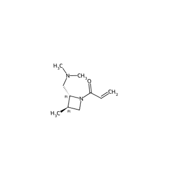 C=CC(=O)N1C[C@@H](C)[C@@H]1CN(C)C